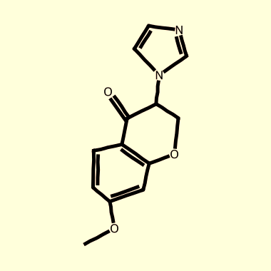 COc1ccc2c(c1)OCC(n1ccnc1)C2=O